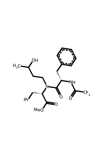 COC(=O)[C@H](CC(C)C)N(CCC(C)O)C(=O)[C@H](Cc1ccccc1)NC(=O)C(F)(F)F